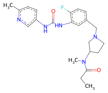 CCC(=O)N(C)C1CCN(Cc2ccc(F)c(NC(=O)Nc3ccc(C)nc3)c2)C1